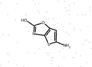 Nc1cc2oc(O)nc2s1